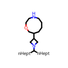 CCCCCCCC(CCCCCCC)N1CC(C2CCCCNCCOC2)C1